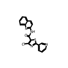 O=C(Nc1ccc2ccccc2n1)c1sc(-c2cccnc2)nc1Cl